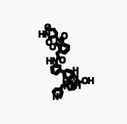 O=C1CCC(N2C(=O)c3cccc(CC(=O)Nc4cccc(-c5ccc6c(c5)[C@H]5[C@H](CCN5Cc5ccncc5)[C@@H](CO)N6)c4)c3C2=O)C(=O)N1